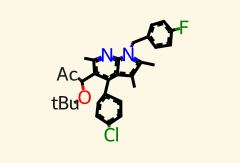 CC(=O)C(OC(C)(C)C)c1c(C)nc2c(c(C)c(C)n2Cc2ccc(F)cc2)c1-c1ccc(Cl)cc1